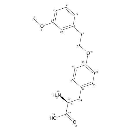 COc1cccc(CCOc2ccc(C[C@H](N)C(=O)O)cc2)c1